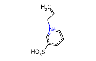 C=CC[n+]1cccc(S(=O)(=O)O)c1